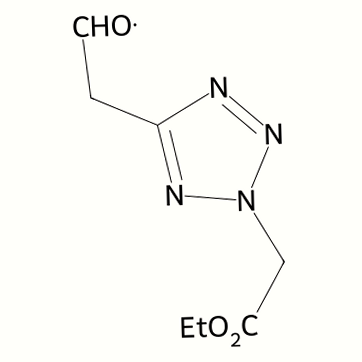 CCOC(=O)Cn1nnc(C[C]=O)n1